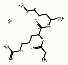 N=C(N)NCCCC(NC(=O)CN)C(=O)NC(CCCCN)C(=O)O.[Cu]